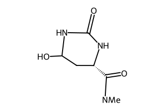 CNC(=O)[C@@H]1CC(O)NC(=O)N1